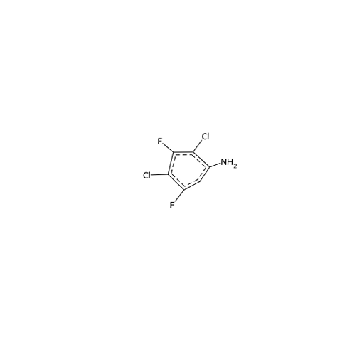 Nc1cc(F)c(Cl)c(F)c1Cl